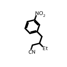 CCC(CC#N)Cc1cccc([N+](=O)[O-])c1